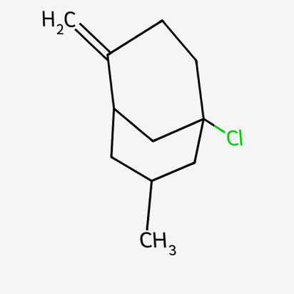 C=C1CCC2(Cl)CC(C)CC1C2